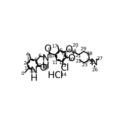 Cc1cc(C)c(CNC(=O)c2cc(Cl)c3c(c2C)O[C@@](C)([C@H]2CC[C@H](N(C)C)CC2)O3)c(=O)[nH]1.Cl